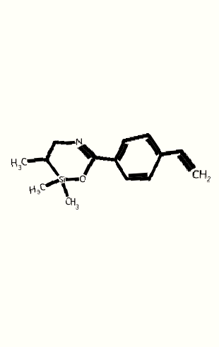 C=Cc1ccc(C2=NCC(C)[Si](C)(C)O2)cc1